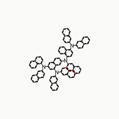 c1ccc2cc(N(c3cc(N(c4ccc5ccccc5c4)c4ccc5ccccc5c4)c4cc(N(c5ccc6ccccc6c5)c5ccc(N(c6ccc7ccccc7c6)c6ccc7ccccc7c6)c6ccccc56)ccc4c3)c3cccc4ccccc34)ccc2c1